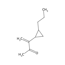 C=C(C(C)=O)C1CC1CCC